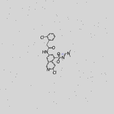 CN(C)/C=N/S(=O)(=O)c1cc(NC(=O)Cc2ccccc2Cl)cc2cnc(Cl)cc12